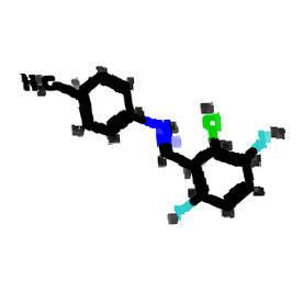 Cc1ccc(/N=C/c2c(F)ccc(F)c2Cl)cc1